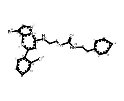 O=C(NCCNc1cc(-c2ccccc2Cl)nc2c(Br)cnn12)NCCc1ccccc1